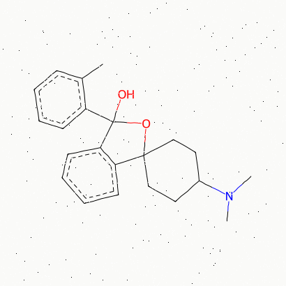 Cc1ccccc1C1(O)OC2(CCC(N(C)C)CC2)c2ccccc21